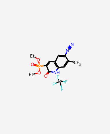 CCOP(=O)(OCC)c1cc2cc([N+]#N)c(C(F)(F)F)cc2[nH]c1=O.F[B-](F)(F)F